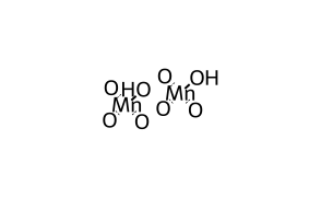 [O]=[Mn](=[O])(=[O])[OH].[O]=[Mn](=[O])(=[O])[OH]